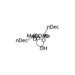 CCCCCCCCCCCCCCCC(=O)Cc1ccc2cc1-c1cc(c(OC(=O)C(C)CCCCCCCCCCCCC)c(OC)c1OC)CCCC[C@H](O)CC2